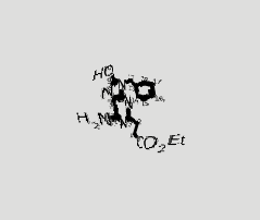 CCOC(=O)CCc1nc(N)c2nc(O)n(Cc3ccccc3)c2n1